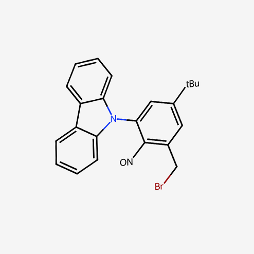 CC(C)(C)c1cc(CBr)c(N=O)c(-n2c3ccccc3c3ccccc32)c1